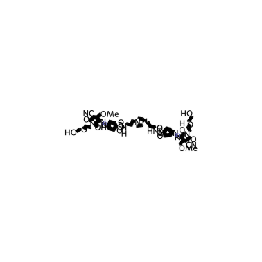 COCc1c(/N=N/c2ccc(S(=O)(=O)NCCCN3CCN(CCCNS(=O)(=O)c4ccc(/N=N/c5c(COC)c(C#N)c(=O)n(CCOCCO)c5O)cc4)CC3)cc2)c(O)n(CCOCCO)c(=O)c1C#N